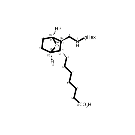 CCCCCCNC[C@H]1[C@H](CCCCCCC(=O)O)[C@H]2CC[C@@H]1O2